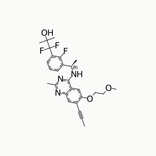 CC#Cc1cc2nc(C)nc(N[C@H](C)c3cccc(C(F)(F)C(C)(C)O)c3F)c2cc1OCCOC